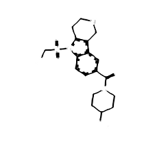 CCS(=O)(=O)n1c2c(c3cc(C(=O)N4CCC(C)CC4)ccc31)CNCC2